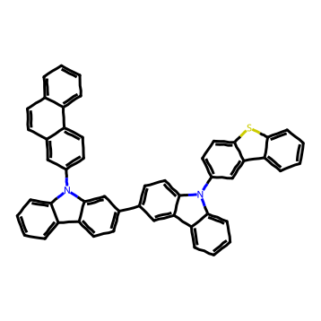 c1ccc2c(c1)ccc1cc(-n3c4ccccc4c4ccc(-c5ccc6c(c5)c5ccccc5n6-c5ccc6sc7ccccc7c6c5)cc43)ccc12